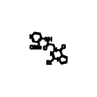 CCc1nn(CC(=O)Nc2ccncc2OC)c(=O)c2cccn12